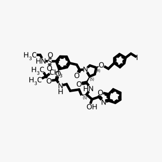 CCNS(=O)(=O)c1ccc(CC(=O)N2C[C@H](OCc3ccc(CI)cc3)C[C@H]2C(=O)N[C@@H](CCCCNC(=O)OC(C)(C)C)C(O)c2nc3ccccc3o2)cc1